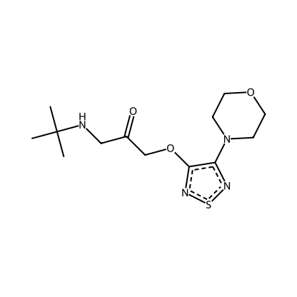 CC(C)(C)NCC(=O)COc1nsnc1N1CCOCC1